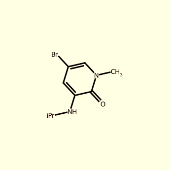 CC(C)Nc1cc(Br)cn(C)c1=O